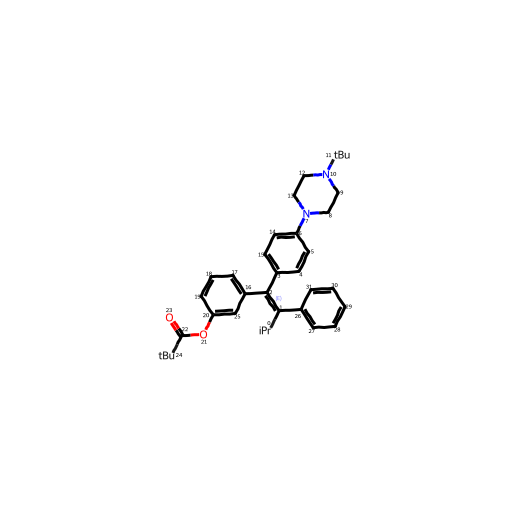 CC(C)/C(=C(/c1ccc(N2CCN(C(C)(C)C)CC2)cc1)c1cccc(OC(=O)C(C)(C)C)c1)c1ccccc1